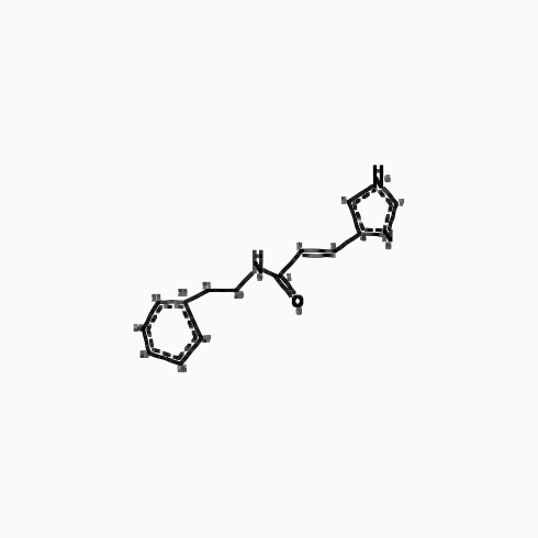 O=C(C=Cc1c[nH]cn1)NCCc1ccccc1